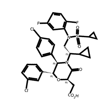 O=C(O)C[C@H]1O[C@H](c2cccc(Cl)c2)[C@@H](c2ccc(Cl)cc2)N([C@H](CN(c2cc(F)ccc2F)S(=O)(=O)C2CC2)C2CC2)C1=O